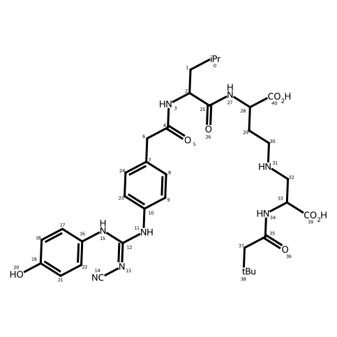 CC(C)CC(NC(=O)Cc1ccc(NC(=NC#N)Nc2ccc(O)cc2)cc1)C(=O)NC(CCNCC(NC(=O)CC(C)(C)C)C(=O)O)C(=O)O